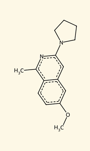 COc1ccc2c(C)nc(N3CCCC3)cc2c1